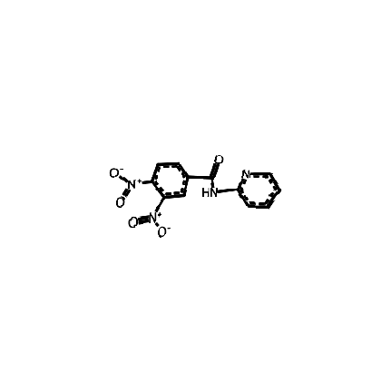 O=C(Nc1ccccn1)c1ccc([N+](=O)[O-])c([N+](=O)[O-])c1